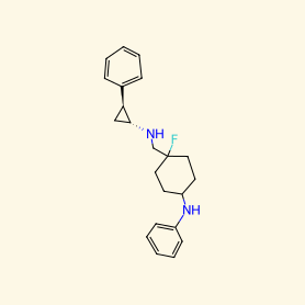 FC1(CN[C@@H]2C[C@H]2c2ccccc2)CCC(Nc2ccccc2)CC1